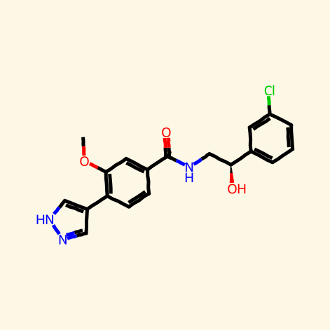 COc1cc(C(=O)NC[C@H](O)c2cccc(Cl)c2)ccc1-c1cn[nH]c1